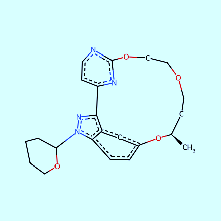 C[C@@H]1CCOCCOc2nccc(n2)-c2nn(C3CCCCO3)c3ccc(cc23)O1